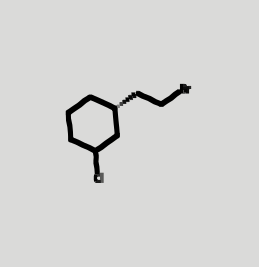 ClC1CCC[C@H](CCBr)C1